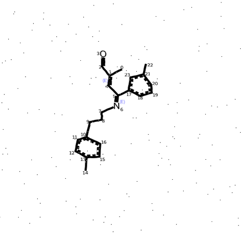 C/C(C=O)=C\C(=N/CCCc1ccc(C)cc1)c1cccc(C)c1